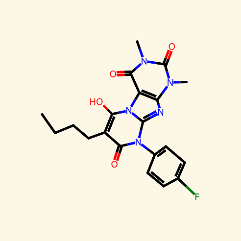 CCCCc1c(O)n2c3c(=O)n(C)c(=O)n(C)c3nc2n(-c2ccc(F)cc2)c1=O